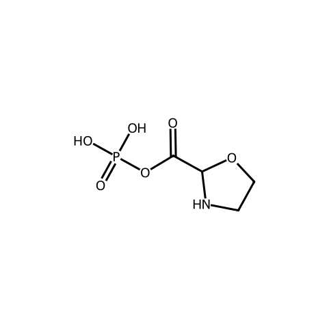 O=C(OP(=O)(O)O)C1NCCO1